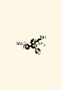 COc1cc(-c2cc(N3CCOCC3)nc3c(/C(N)=C/C=N)nccc23)ccn1